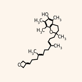 C/C(=C\CC/C(C)=C/CCC1(C)CCc2c(C)c(O)c(C)c(C)c2O1)CCC=C1COC1